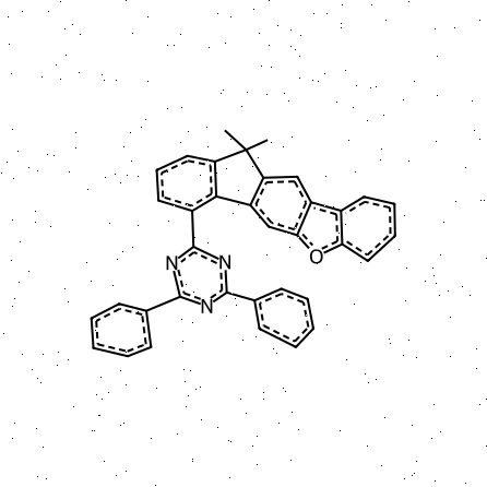 CC1(C)c2cc3c(cc2-c2c(-c4nc(-c5ccccc5)nc(-c5ccccc5)n4)cccc21)oc1ccccc13